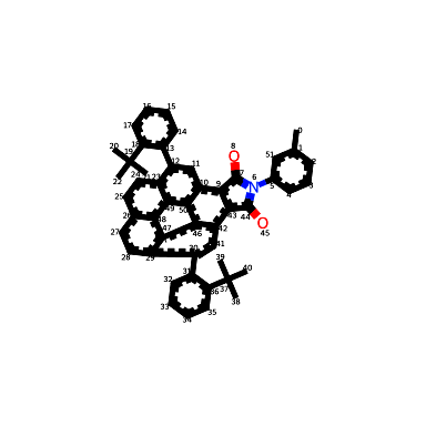 Cc1cccc(-n2c(=O)c3c4cc(-c5ccccc5C(C)(C)C)c5ccc6ccc7c(-c8ccccc8C(C)(C)C)cc(c3c2=O)c2c7c6c5c42)c1